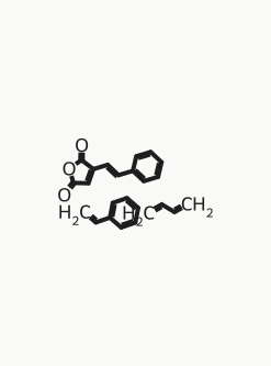 C=CC=C.C=Cc1ccccc1.O=C1C=C(C=Cc2ccccc2)C(=O)O1